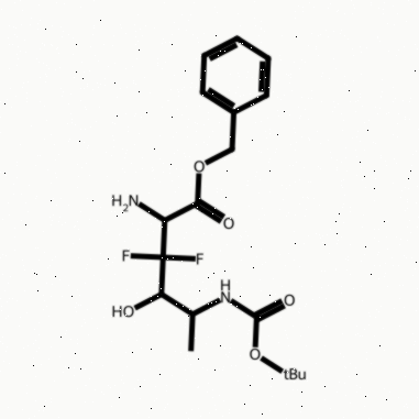 CC(NC(=O)OC(C)(C)C)C(O)C(F)(F)C(N)C(=O)OCc1ccccc1